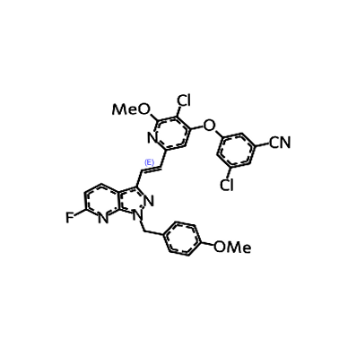 COc1ccc(Cn2nc(/C=C/c3cc(Oc4cc(Cl)cc(C#N)c4)c(Cl)c(OC)n3)c3ccc(F)nc32)cc1